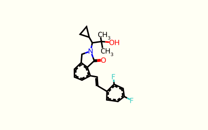 CC(C)(O)C(C1CC1)N1Cc2cccc(C=Cc3ccc(F)cc3F)c2C1=O